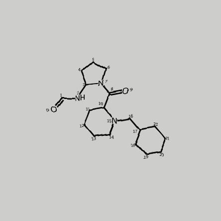 O=CNC1CCCN1C(=O)C1CCCCN1CC1CCCCC1